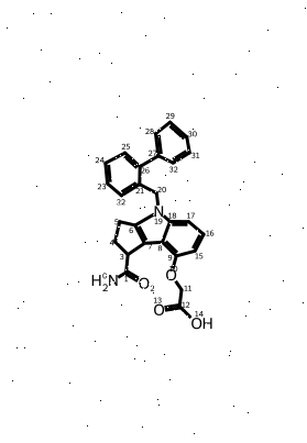 NC(=O)C1CCc2c1c1c(OCC(=O)O)cccc1n2Cc1ccccc1-c1ccccc1